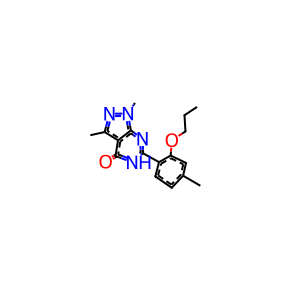 CCCOc1cc(C)ccc1-c1nc2c(c(C)nn2C)c(=O)[nH]1